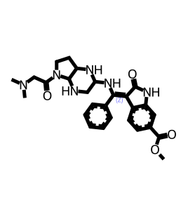 COC(=O)c1ccc2c(c1)NC(=O)/C2=C(\NC1CNC2C(CCN2C(=O)CN(C)C)N1)c1ccccc1